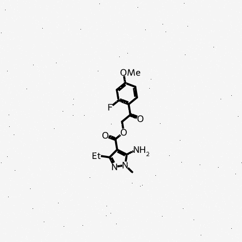 CCc1nn(C)c(N)c1C(=O)OCC(=O)c1ccc(OC)cc1F